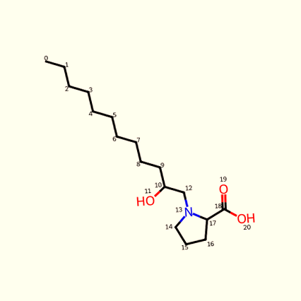 CCCCCCCCCCC(O)CN1CCCC1C(=O)O